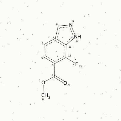 COC(=O)c1ccc2cn[nH]c2c1F